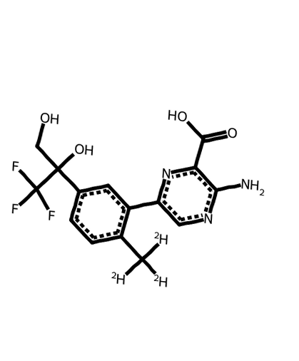 [2H]C([2H])([2H])c1ccc(C(O)(CO)C(F)(F)F)cc1-c1cnc(N)c(C(=O)O)n1